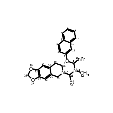 CCCC(Oc1ccc2ccccc2c1)N(C)C(CC)N1CCc2cc3c(cc2C1)OCO3